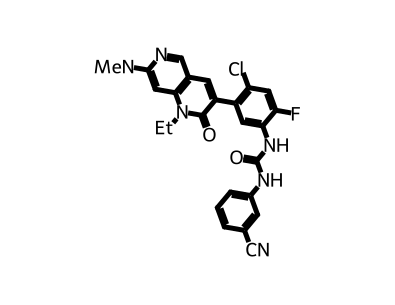 CCn1c(=O)c(-c2cc(NC(=O)Nc3cccc(C#N)c3)c(F)cc2Cl)cc2cnc(NC)cc21